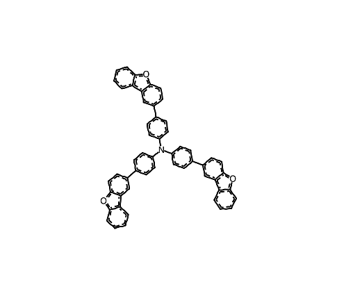 c1ccc2c(c1)oc1ccc(-c3ccc(N(c4ccc(-c5ccc6oc7ccccc7c6c5)cc4)c4ccc(-c5ccc6oc7ccccc7c6c5)cc4)cc3)cc12